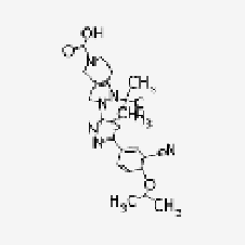 CC(C)Oc1ccc(-c2nnc(N3CC4=C(CCN(C(=O)O)C4)N3C(C)(C)C)s2)cc1C#N